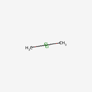 CCCCCCCCCCCCCCCCCC(Cl)C(Cl)CCCCCCCCCCCCCCCCC